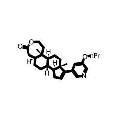 CCCOc1cncc(C2=CC[C@H]3[C@@H]4CC[C@H]5CC(=O)OCC[C@]5(C)[C@H]4CC[C@]23C)c1